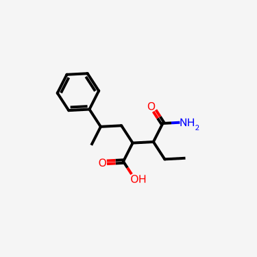 CCC(C(N)=O)C(CC(C)c1ccccc1)C(=O)O